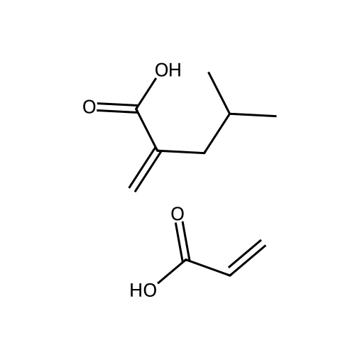 C=C(CC(C)C)C(=O)O.C=CC(=O)O